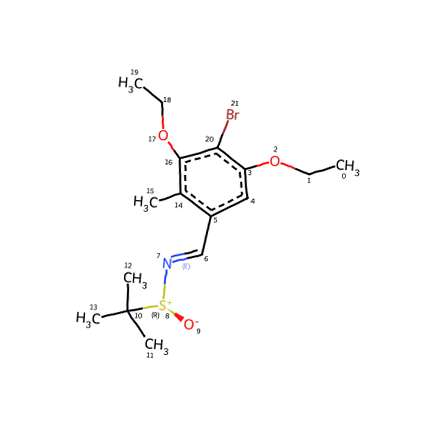 CCOc1cc(/C=N/[S@@+]([O-])C(C)(C)C)c(C)c(OCC)c1Br